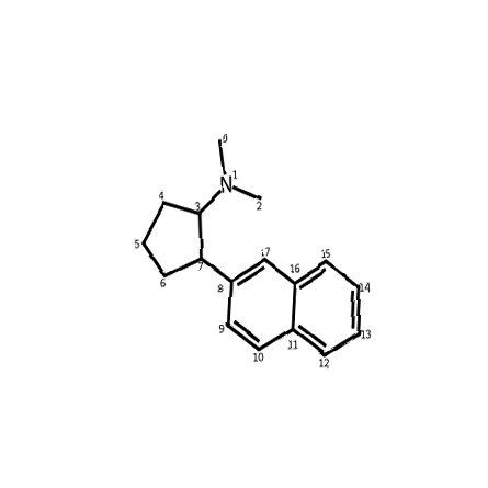 CN(C)C1CCCC1c1ccc2ccccc2c1